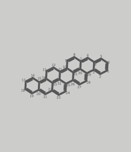 c1ccc2c(c1)cc1ccc3c4ccc5c6ccccc6cc6ccc(c7ccc2c1c37)c4c65